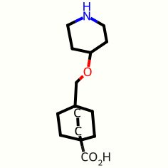 O=C(O)C12CCC(COC3CCNCC3)(CC1)CC2